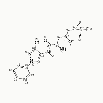 CN(C(=O)C(=N)C[S+]([O-])CC1CC1(F)F)c1cn(-c2cccnc2)nc1Cl